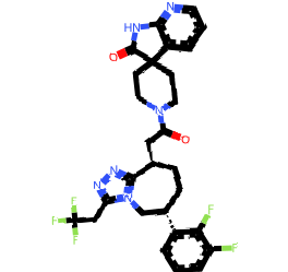 O=C(C[C@H]1CC[C@H](c2cccc(F)c2F)Cn2c(CC(F)(F)F)nnc21)N1CCC2(CC1)C(=O)Nc1ncccc12